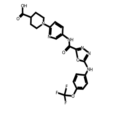 O=C(Nc1ccc(N2CCC(C(=O)O)CC2)nc1)c1nnc(Nc2ccc(OC(F)(F)F)cc2)o1